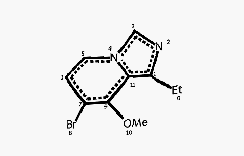 CCc1ncn2ccc(Br)c(OC)c12